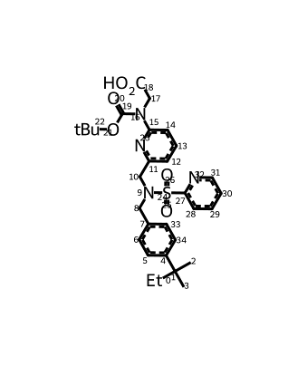 CCC(C)(C)c1ccc(CN(Cc2cccc(N(CC(=O)O)C(=O)OC(C)(C)C)n2)S(=O)(=O)c2ccccn2)cc1